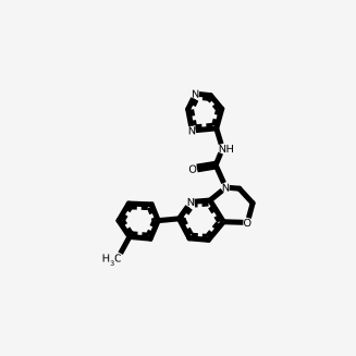 Cc1cccc(-c2ccc3c(n2)N(C(=O)Nc2ccncn2)CCO3)c1